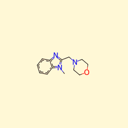 Cn1c(CN2CCOCC2)nc2ccccc21